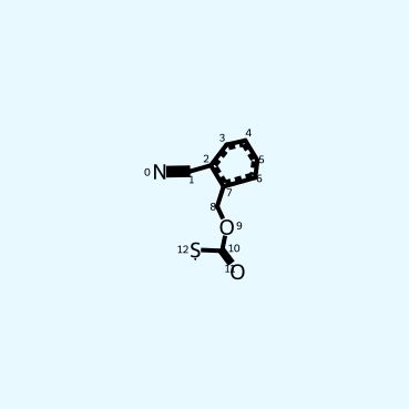 N#Cc1ccccc1COC(=O)[S]